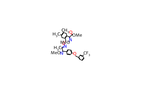 CO/N=C(\C(C)=N\OCC1=C(/C(=N\OC)C(=O)OC)CC(C)=C(C)C1)c1ccc(OCc2cccc(C(F)(F)F)c2)cc1